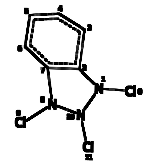 ClN1c2ccccc2N(Cl)N1Cl